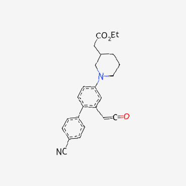 CCOC(=O)CC1CCCN(c2ccc(-c3ccc(C#N)cc3)c(C=C=O)c2)C1